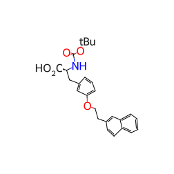 CC(C)(C)OC(=O)N[C@@H](Cc1cccc(OCCc2ccc3ccccc3c2)c1)C(=O)O